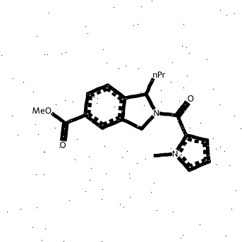 CCCC1c2ccc(C(=O)OC)cc2CN1C(=O)c1cccn1C